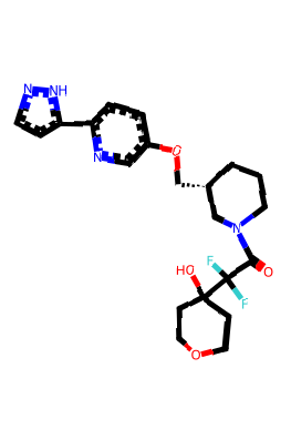 O=C(N1CCC[C@@H](COc2ccc(-c3ccn[nH]3)nc2)C1)C(F)(F)C1(O)CCOCC1